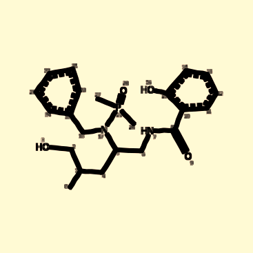 CC(CO)CC(CNC(=O)c1ccccc1O)N(Cc1ccccc1)P(C)(C)=O